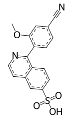 COc1cc(C#N)ccc1-c1nccc2cc(S(=O)(=O)O)ccc12